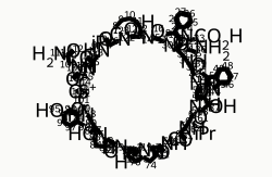 CC(C)C[C@@H]1NC(=O)C2CCCCCCC(NC(=O)[C@H](Cc3cn(CC(=O)O)c4ccccc34)NC(=O)[C@H](CCN)NC(=O)[C@H](Cc3c[nH]c4ccccc34)NC(=O)[C@@H]3C[C@@H](O)CN3C(=O)[C@H](CC(C)C)NC(=O)CNC(=O)[C@H]3CCC4CC[C@@H](NC(=O)[C@@H]5CCCN5C(O)[C@H](Cc5ccc(O)cc5)NC(=O)C[S+]([O-])C[C@@H](C(=O)NCC(N)=O)N(C)C1=O)C(=O)N43)C(=O)N2C